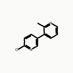 Cc1ncccc1-c1ccc(Cl)nc1